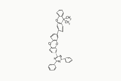 CC1(C)c2ccccc2Oc2cc(-c3ccc4c(c3)Oc3cc(-c5nc(-c6ccccc6)nc(-c6ccccc6)n5)ccc3O4)ccc21